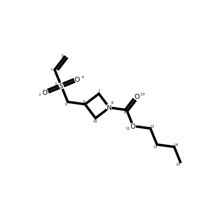 C=CS(=O)(=O)CC1CN(C(=O)OCCCC)C1